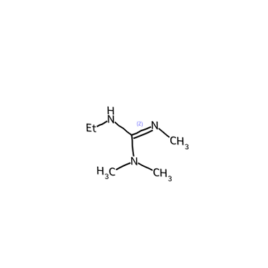 CCN/C(=N/C)N(C)C